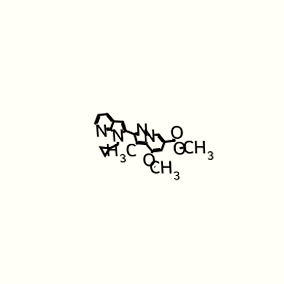 COC(=O)c1cc(OC)c2c(C)c(-c3cc4cccnc4n3CC3CC3)nn2c1